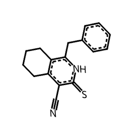 N#Cc1c2c(c(Cc3ccccc3)[nH]c1=S)CCCC2